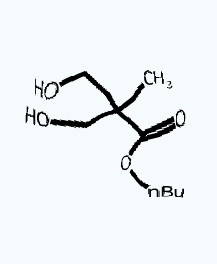 CCCCOC(=O)C(C)(CO)CO